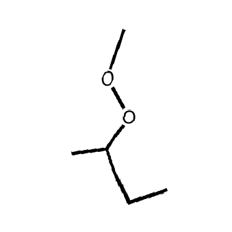 CCC(C)OOC